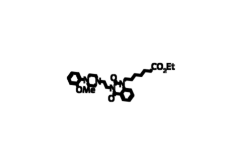 CCOC(=O)CCCCCCn1c(=O)n(CCN2CCN(c3ccccc3OC)CC2)c(=O)c2ccccc21